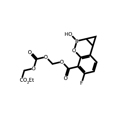 CCOC(=O)COC(=O)OCOC(=O)c1c(F)ccc2c1OB(O)C1CC21